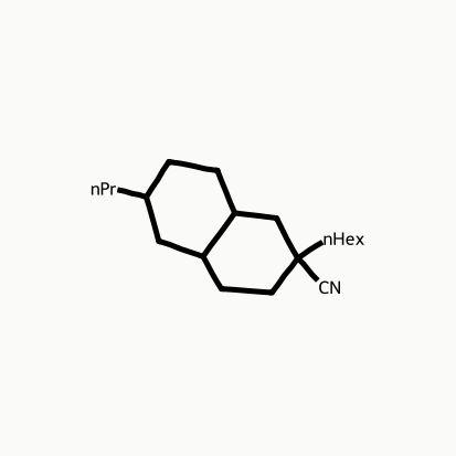 CCCCCCC1(C#N)CCC2CC(CCC)CCC2C1